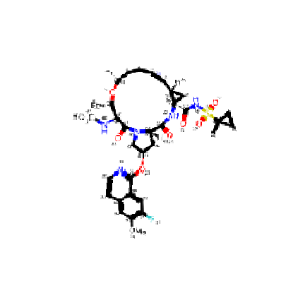 CC[C@@H]1O[C@H](C)CC/C=C\[C@@H]2C[C@@]2(C(=O)NS(=O)(=O)C2(C)CC2)NC(=O)[C@@H]2C[C@@H](Oc3nccc4cc(OC)c(F)cc34)CN2C(=O)[C@H]1NC(=O)O